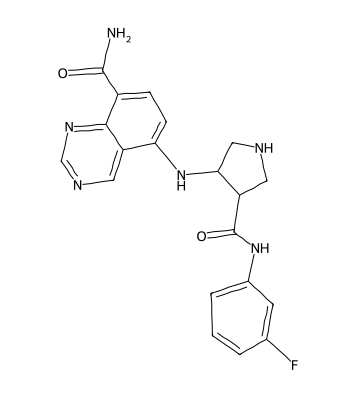 NC(=O)c1ccc(NC2CNCC2C(=O)Nc2cccc(F)c2)c2cncnc12